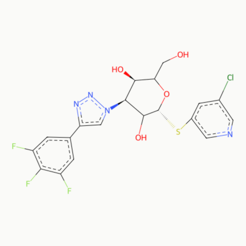 OCC1O[C@H](Sc2cncc(Cl)c2)C(O)[C@@H](n2cc(-c3cc(F)c(F)c(F)c3)nn2)[C@H]1O